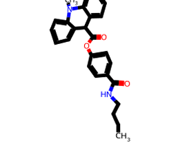 CCCCNC(=O)c1ccc(OC(=O)C2c3ccccc3N(C)c3ccccc32)cc1